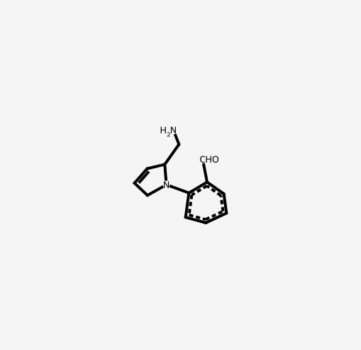 NCC1C=CCN1c1ccccc1C=O